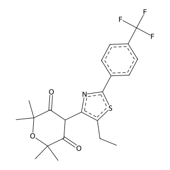 CCc1sc(-c2ccc(C(F)(F)F)cc2)nc1C1C(=O)C(C)(C)OC(C)(C)C1=O